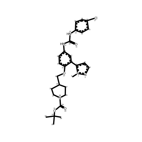 Cn1nccc1-c1cc(NC(=O)Nc2ccc(Cl)cc2)ccc1OCC1CCN(C(=O)OC(C)(C)C)CC1